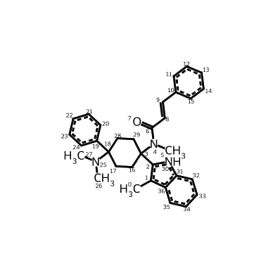 Cc1c(C2(N(C)C(=O)C=Cc3ccccc3)CCC(c3ccccc3)(N(C)C)CC2)[nH]c2ccccc12